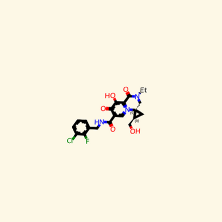 CCN1C[C@@]2(C[C@H]2CO)n2cc(C(=O)NCc3cccc(Cl)c3F)c(=O)c(O)c2C1=O